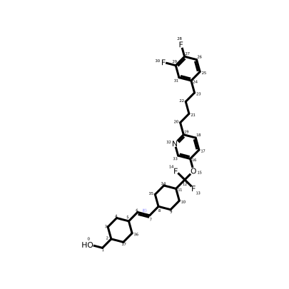 OCC1CCC(/C=C/C2CCC(C(F)(F)Oc3ccc(CCCCc4ccc(F)c(F)c4)nc3)CC2)CC1